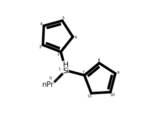 CCC[SiH](C1=CC=CC1)C1=CC=CC1